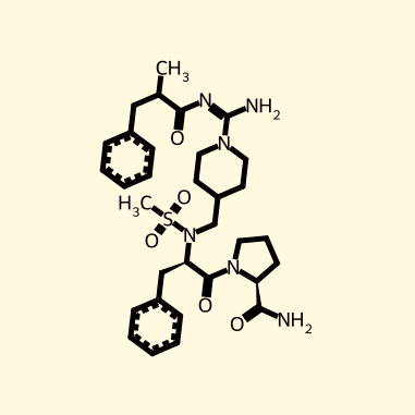 CC(Cc1ccccc1)C(=O)N=C(N)N1CCC(CN([C@H](Cc2ccccc2)C(=O)N2CCC[C@H]2C(N)=O)S(C)(=O)=O)CC1